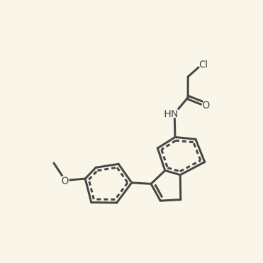 COc1ccc(C2=CCc3ccc(NC(=O)CCl)cc32)cc1